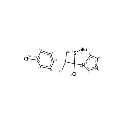 CCC(C)SC(Cl)(n1ccnc1)C(C)(C)c1ccc(Cl)cc1